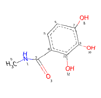 CNC(=O)c1ccc(O)c(O)c1O